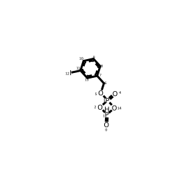 O=[PH]1OP(=O)(OCc2cccc(I)c2)O1